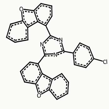 Clc1ccc(-c2nc(-c3cccc4oc5ccccc5c34)nc(-c3cccc4oc5ccccc5c34)n2)cc1